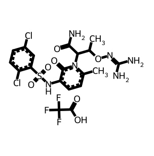 Cc1ccc(NS(=O)(=O)c2cc(Cl)ccc2Cl)c(=O)n1C(C(N)=O)C(C)ON=C(N)N.O=C(O)C(F)(F)F